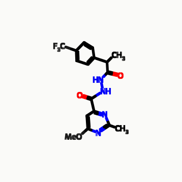 COc1cc(C(=O)NNC(=O)C(C)c2ccc(C(F)(F)F)cc2)nc(C)n1